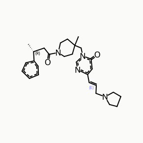 C[C@H](CC(=O)N1CCC(C)(Cn2cnc(/C=C/CN3CCCC3)cc2=O)CC1)c1ccccc1